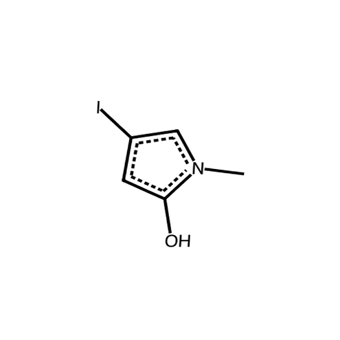 Cn1cc(I)cc1O